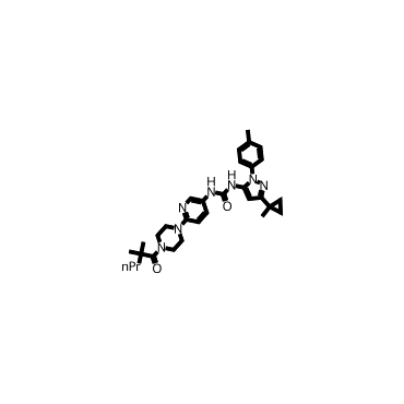 CCCC(C)(C)C(=O)N1CCN(c2ccc(NC(=O)Nc3cc(C4(C)CC4)nn3-c3ccc(C)cc3)cn2)CC1